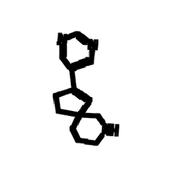 C1=C(c2cncnc2)CCC12CCCNC2